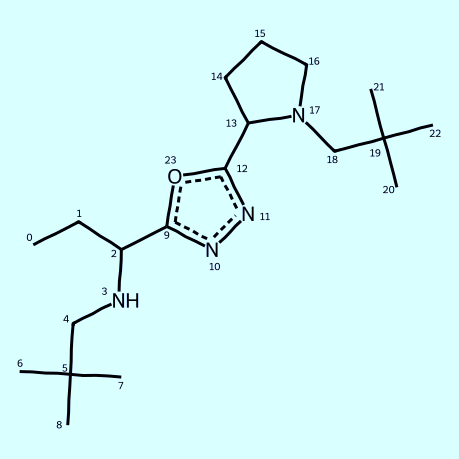 CCC(NCC(C)(C)C)c1nnc(C2CCCN2CC(C)(C)C)o1